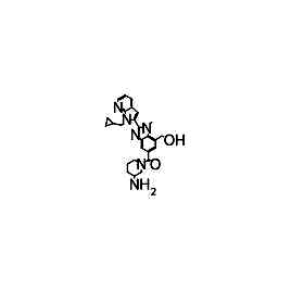 Cn1c(-c2cc3cccnc3n2CC2CC2)nc2cc(C(=O)N3CCCC(N)C3)cc(CO)c21